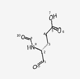 O=[C][C@@H](CCC(=O)O)NC=O